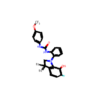 CCC1(CC)CN(c2ccccc2NC(=O)Nc2ccc(OC(F)(F)F)cc2)c2c1ccc(F)c2O